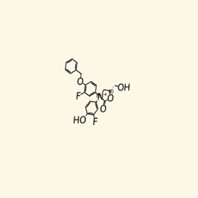 O=C1O[C@@H](CO)C[N@@+]1(c1ccc(O)c(F)c1)c1ccc(OCc2ccccc2)c(F)c1